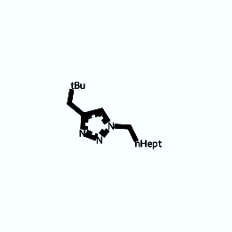 CCCCCCCCn1cc(CC(C)(C)C)nn1